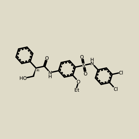 CCOc1cc(NC(=O)[C@@H](CO)c2ccccc2)ccc1S(=O)(=O)Nc1ccc(Cl)c(Cl)c1